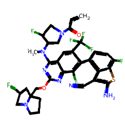 C=CC(=O)N1CC(F)C(N(C)c2nc(OCC34CCCN3CC(F)C4)nc3c(F)c(-c4ccc(F)c5sc(N)c(C#N)c45)c(C(F)(F)F)cc23)C1